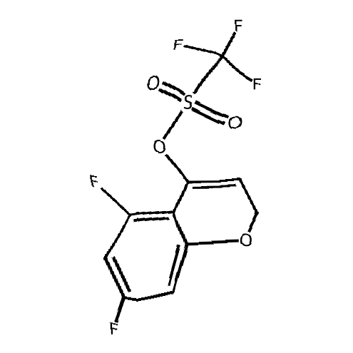 O=S(=O)(OC1=CCOc2cc(F)cc(F)c21)C(F)(F)F